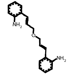 Nc1ccccc1C=CCOCC=Cc1ccccc1N